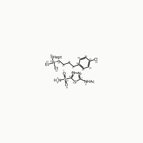 CC(=O)Nc1nnc(S(N)(=O)=O)s1.CCCCCCC[N+](CC)(CC)CCCCc1ccc(Cl)cc1